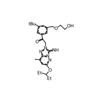 CCC(CC)Oc1cc(C)c2nn(CC(=O)c3cc(COCCO)cc(C(C)(C)C)c3)c(=N)n2n1